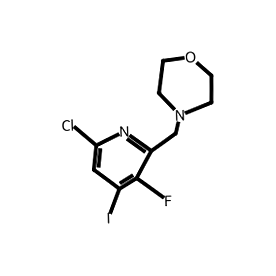 Fc1c(I)cc(Cl)nc1CN1CCOCC1